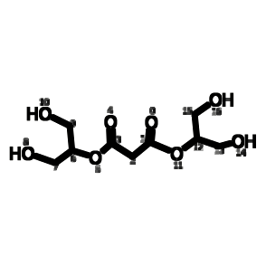 O=C(CC(=O)OC(CO)CO)OC(CO)CO